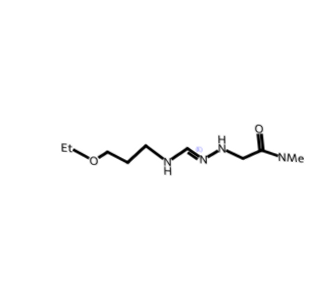 CCOCCCN/C=N/NCC(=O)NC